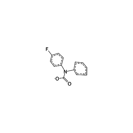 [O]C(=O)N(c1ccccc1)c1ccc(F)cc1